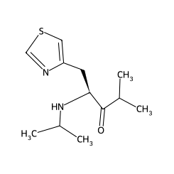 CC(C)N[C@@H](Cc1cscn1)C(=O)C(C)C